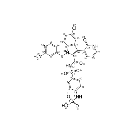 CS(=O)(=O)Nc1ccc(S(=O)(=O)NC(=O)c2c(-c3ccc[nH]c3=O)c3cc(Cl)ccc3n2Cc2ccnc(N)c2)cc1